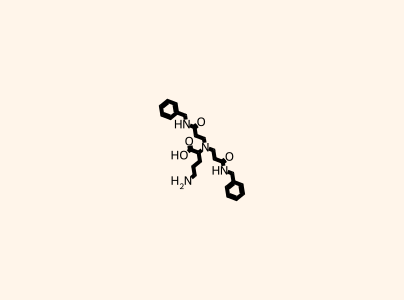 NCCCC(C(=O)O)N(CCC(=O)NCc1ccccc1)CCC(=O)NCc1ccccc1